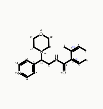 C/C=C(C)\C(=C/C)C(=O)NCC(c1ccncc1)N1CCOCC1